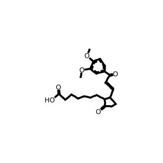 COc1ccc(C(=O)/C=C/C2CCC(=O)C2CCCCCCC(=O)O)cc1OC